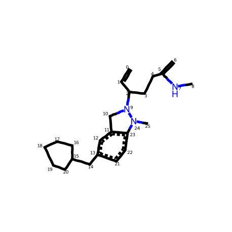 C=CC(CCC(=C)NC)N1Cc2cc(CC3CCCCC3)ccc2N1C